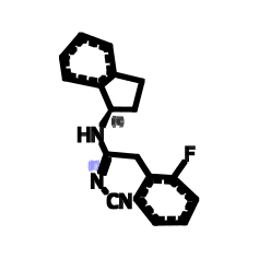 N#C/N=C(\Cc1ccccc1F)N[C@@H]1CCc2ccccc21